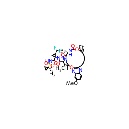 CC[C@@]12CC1CCCCc1nc3ccc(OC)cc3nc1O[C@H]1CN(C(=O)[C@H](C(C)(C)C)NC(=O)O2)[C@H](C(=O)N[C@]2(C(=O)NS(=O)(=O)C3(C)CC3)C[C@H]2C(F)F)[C@@H]1C